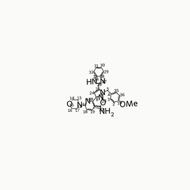 COc1ccc(Cn2nc(-c3nc(N4CCOCC4)ccc3C(N)=O)cc2-c2nc3ccccc3[nH]2)cc1